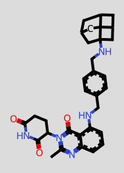 Cc1nc2cccc(NCc3ccc(CNC45CC6CC7CC(C4)C75C6)cc3)c2c(=O)n1C1CCC(=O)NC1=O